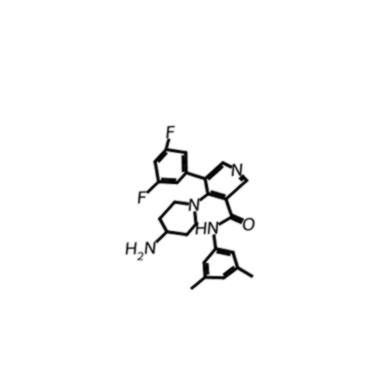 Cc1cc(C)cc(NC(=O)c2cncc(-c3cc(F)cc(F)c3)c2N2CCC(N)CC2)c1